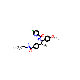 CCCC(c1ccc(C(=O)NCCC(=O)OCC)cc1)C(NC(=O)c1ccc(Cl)cn1)c1ccc(OC(F)(F)F)cc1